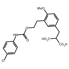 COc1ccc(CC(C(=O)O)C(=O)O)cc1CCOC(=O)Nc1ccc(Cl)cc1